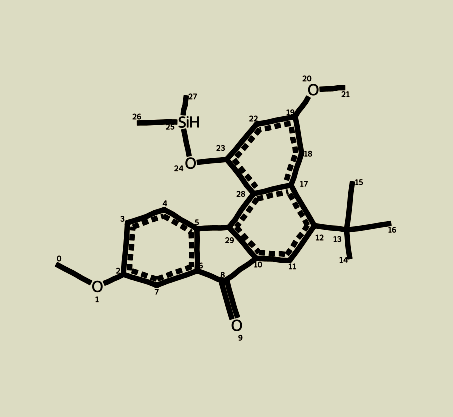 COc1ccc2c(c1)C(=O)c1cc(C(C)(C)C)c3cc(OC)cc(O[SiH](C)C)c3c1-2